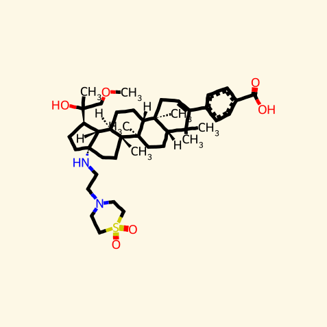 COCC(C)(O)[C@@H]1CC[C@]2(NCCN3CCS(=O)(=O)CC3)CC[C@]3(C)[C@H](CC[C@@H]4[C@@]5(C)CC=C(c6ccc(C(=O)O)cc6)C(C)(C)[C@@H]5CC[C@]43C)[C@@H]12